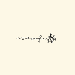 CCCCOCCOCCOCCCNC(=O)CCCC[C@@H]1SC[C@@H]2NC(=O)N[C@@H]21